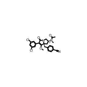 COC1=C(c2cc(Cl)cc(Cl)c2)C(=O)N2C[C@@H](N(C)C(C)=O)C[C@]12Cc1ccc(C#N)cc1